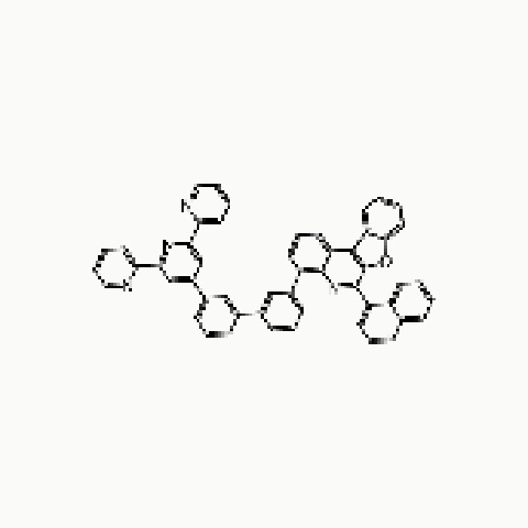 c1ccc(-c2cc(-c3cccc(-c4cccc(-c5cccc6c5nc(-c5cccc7ccccc57)c5oc7ccccc7c56)c4)c3)cc(-c3ccccn3)n2)nc1